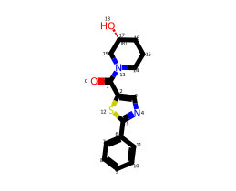 O=C(c1cnc(-c2ccccc2)s1)N1CCC[C@@H](O)C1